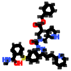 CNC(O)c1ccccc1Sc1ccc2c(/C=C/c3ccccn3)nn(C(=O)N(CCC(=O)OCc3ccccc3)C[C@@H]3CCCN3)c2c1